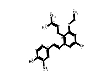 CCOc1cc(O)cc(C=Cc2ccc(O)c(N)c2)c1CC=C(C)C